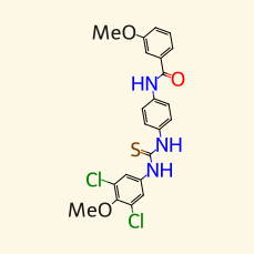 COc1cccc(C(=O)Nc2ccc(NC(=S)Nc3cc(Cl)c(OC)c(Cl)c3)cc2)c1